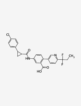 CCC(F)(F)c1ccc(-c2ccc(NC(=O)C3CC3c3ccc(Cl)cc3)cc2C(=O)O)cn1